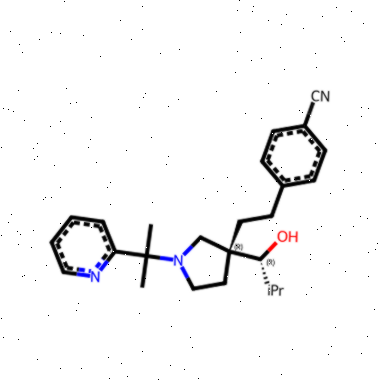 CC(C)[C@@H](O)[C@]1(CCc2ccc(C#N)cc2)CCN(C(C)(C)c2ccccn2)C1